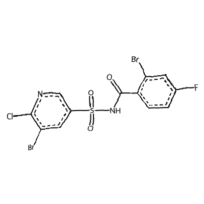 O=C(NS(=O)(=O)c1cnc(Cl)c(Br)c1)c1ccc(F)cc1Br